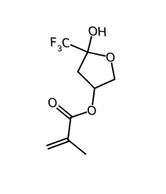 C=C(C)C(=O)OC1COC(O)(C(F)(F)F)C1